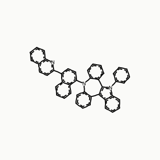 c1ccc(-n2c3c(c4ccccc42)-c2ccccc2N(c2ccc(-c4ccc5ccccc5n4)c4ccccc24)c2ccccc2-3)cc1